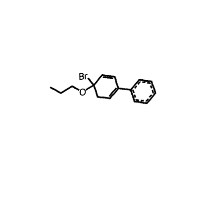 CCCOC1(Br)C=CC(c2ccccc2)=CC1